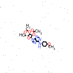 C#C[C@H]1O[C@@H](n2cnc3c(N[C@H]4CC[C@H](OC)CC4)ncnc32)[C@H](OC(C)=O)[C@@H]1OC(C)=O